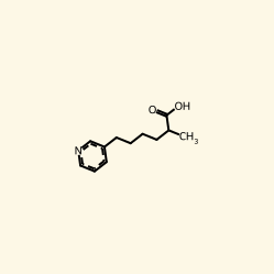 CC(CCCCc1cccnc1)C(=O)O